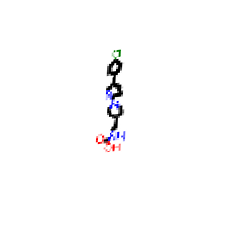 O=C(O)NCCC1CCN(c2ccc(-c3ccc(Cl)cc3)cn2)CC1